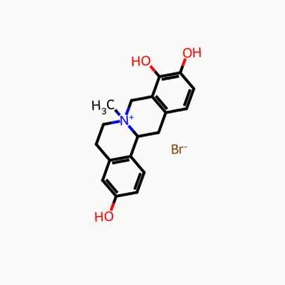 C[N+]12CCc3cc(O)ccc3C1Cc1ccc(O)c(O)c1C2.[Br-]